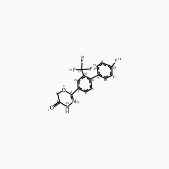 O=C1COC(c2ccc(-c3ccc(F)cc3)c(C(F)(F)F)c2)=NN1